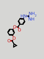 N=C(N)Nc1ccc(C(=O)Oc2cccc(OC(=O)C3CC3)c2)cc1